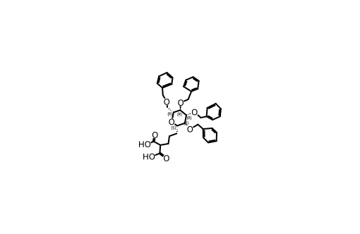 O=C(O)C(CCC[C@@H]1O[C@H](COCc2ccccc2)[C@@H](OCc2ccccc2)[C@H](OCc2ccccc2)[C@@H]1OCc1ccccc1)C(=O)O